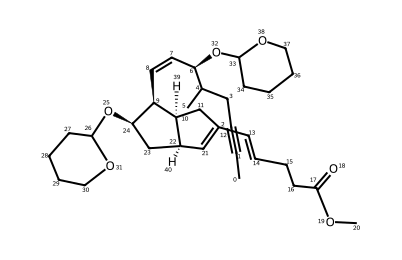 CC#CCC(C)[C@@H](/C=C\[C@H]1[C@H]2CC(C=CCCC(=O)OC)=C[C@H]2C[C@H]1OC1CCCCO1)OC1CCCCO1